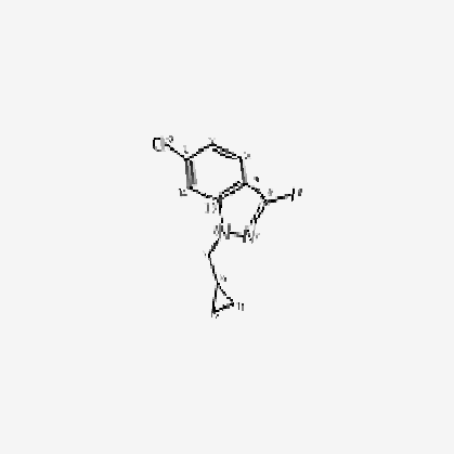 Clc1ccc2c(I)nn(CC3CC3)c2c1